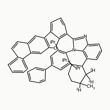 [2H]C1(C)CCC(C(C)C)C(c2cccc3nc(-c4cccc5c4oc4cc6c(ccc7ccccc76)cc45)n(-c4c(C(C)C)cc(-c5ccccc5)cc4C(C)C)c23)C1([2H])[2H]